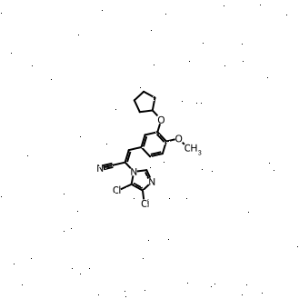 COc1ccc(/C=C(/C#N)n2cnc(Cl)c2Cl)cc1OC1CCCC1